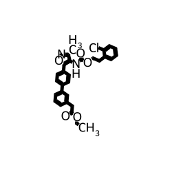 CCOC(=O)Cc1cccc(-c2ccc(-c3onc(C)c3NC(=O)OCCc3ccccc3Cl)cc2)c1